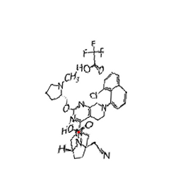 CN1CCC[C@H]1COc1nc2c(c(N3C[C@H]4CC[C@@](CC#N)(C3)N4C(=O)O)n1)CCN(c1cccc3cccc(Cl)c13)C2.O=C(O)C(F)(F)F